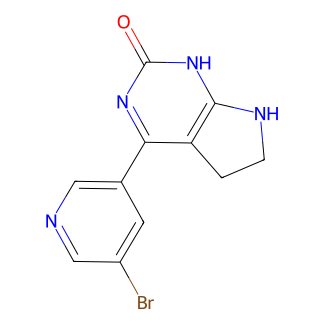 O=c1nc(-c2cncc(Br)c2)c2c([nH]1)NCC2